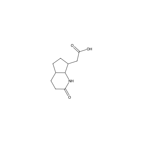 O=C(O)CC1CCC2CCC(=O)NC21